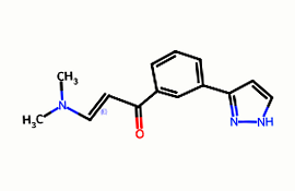 CN(C)/C=C/C(=O)c1cccc(-c2cc[nH]n2)c1